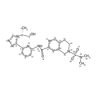 C[C@H](CO)n1cnnc1-c1cccc(NC(=O)c2cc3c(cn2)CCN(S(=O)(=O)N(C)C)C3)n1